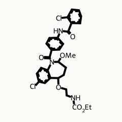 CCOC(=O)NCCOC1CCC(OC)N(C(=O)c2ccc(NC(=O)c3ccccc3Cl)cc2)c2ccc(Cl)cc21